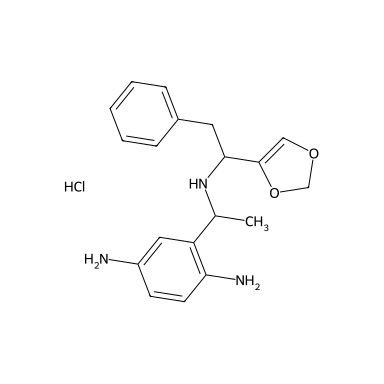 CC(NC(Cc1ccccc1)C1=COCO1)c1cc(N)ccc1N.Cl